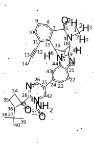 [2H]C([2H])([2H])N1C(=O)c2cccc(C#CC)c2[C@H]2C[C@@H]1c1nc3ccc(-c4cnc(C5(OC(N)=O)CCC5C(C)(C)C)nc4)cc3n12